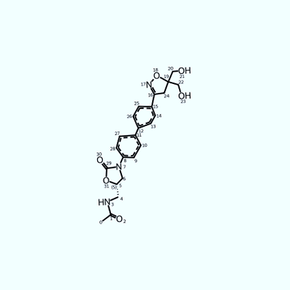 CC(=O)NC[C@H]1CN(c2ccc(-c3ccc(C4=NOC(CO)(CO)C4)cc3)cc2)C(=O)O1